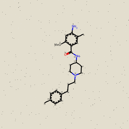 COc1cc(N)c(C)cc1C(=O)NC1CCN(CCCc2ccc(C)cc2)CC1